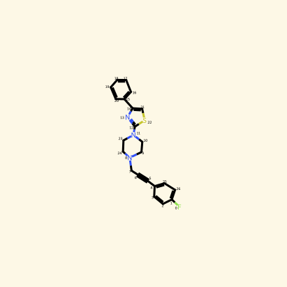 Fc1ccc(C#CCN2CCN(c3nc(-c4ccccc4)cs3)CC2)cc1